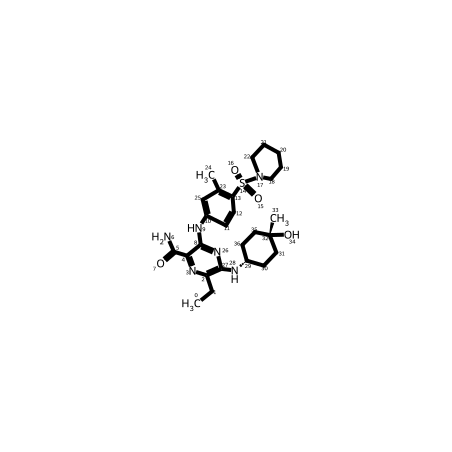 CCc1nc(C(N)=O)c(Nc2ccc(S(=O)(=O)N3CCCCC3)c(C)c2)nc1N[C@H]1CC[C@@](C)(O)CC1